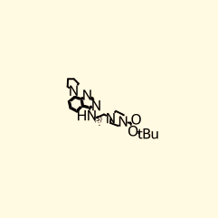 C[C@@H](CN1CCN(C(=O)OC(C)(C)C)CC1)Nc1ncnc2c(N3CCCC3)cccc12